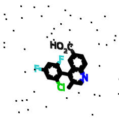 Cc1cnc2ccc(C(=O)O)cc2c1-c1c(F)cc(F)cc1Cl